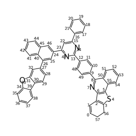 C1=Cc2c(sc3c2nc(-c2ccc(-c4nc(-c5ccccc5)cc(-c5cc(-c6ccc7c(c6)oc6ccccc67)c6ccccc6c5)n4)cc2)c2ccccc23)CC1